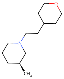 C[C@H]1CCCN(CCC2CCOCC2)C1